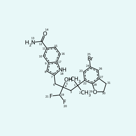 CC(C)(CC(O)(Cc1cc2cc(C(N)=O)ccc2[nH]1)C(F)F)c1cc(Br)cc2c1OCC2